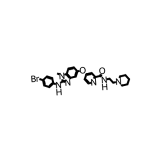 Cn1c(Nc2ccc(Br)cc2)nc2cc(Oc3ccnc(C(=O)NCCN4CCCCC4)c3)ccc21